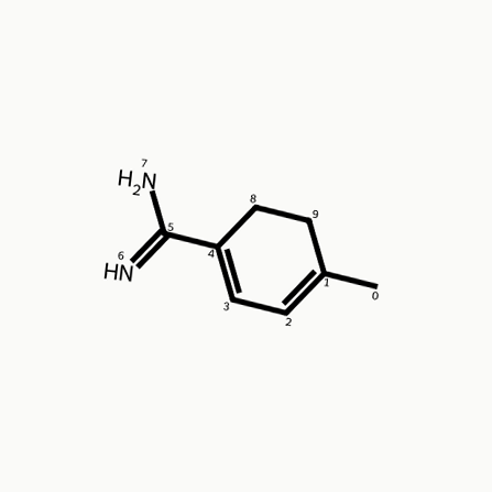 CC1=CC=C(C(=N)N)CC1